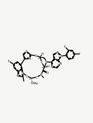 CO[C@H]1CN(C)C(=O)[C@@H]2C[C@@H](CN2c2ncnc3c2cnn3-c2ccc(F)cc2F)Oc2nc(cs2)-c2cc(F)cc3nc(C)n(c23)C1